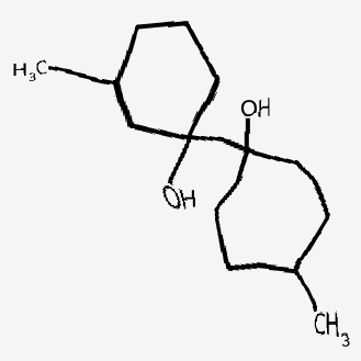 CC1CCC(O)(C2(O)CCCC(C)C2)CC1